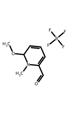 COC1C=CC=C(C=O)N1C.F[B-](F)(F)F